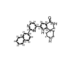 O=C1NCC2(CCNCC2)c2[nH]c(-c3ccnc(-c4ccc5ccccc5c4)n3)cc21